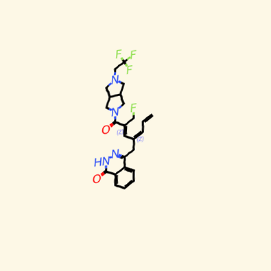 C=C/C=C(\C=C(/CF)C(=O)N1CC2CN(CC(F)(F)F)CC2C1)Cc1n[nH]c(=O)c2ccccc12